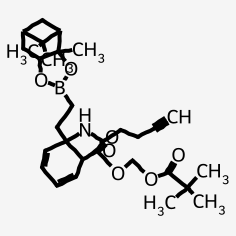 C#CCCC(=O)NC1(CCB2OC3CC4CC(C4(C)C)C3(C)O2)C=CC=CC1C(=O)OCOC(=O)C(C)(C)C